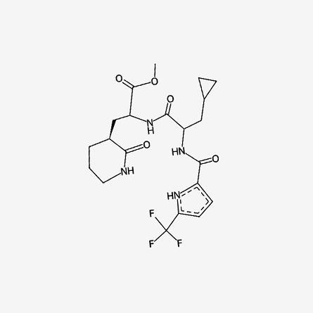 COC(=O)C(C[C@@H]1CCCNC1=O)NC(=O)C(CC1CC1)NC(=O)c1ccc(C(F)(F)F)[nH]1